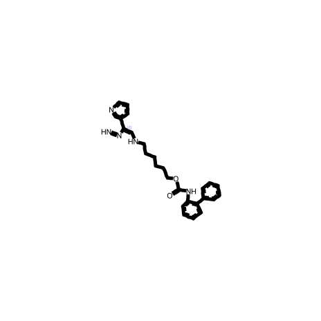 N=N/C(=C\NCCCCCCOC(=O)Nc1ccccc1-c1ccccc1)c1cccnc1